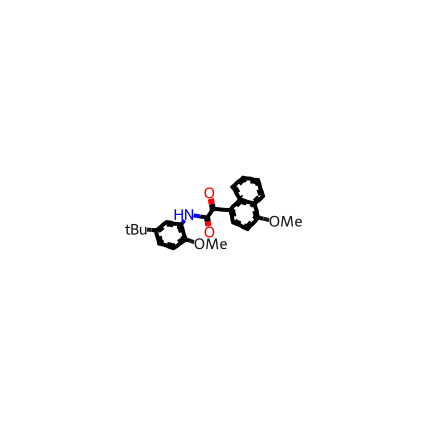 COc1ccc(C(C)(C)C)cc1NC(=O)C(=O)c1ccc(OC)c2ccccc12